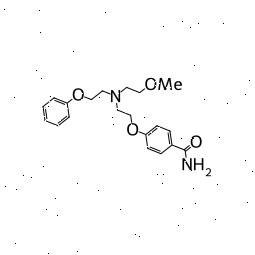 COCCN(CCOc1ccccc1)CCOc1ccc(C(N)=O)cc1